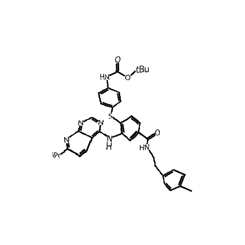 Cc1ccc(CCNC(=O)c2ccc(Sc3ccc(NC(=O)OC(C)(C)C)cc3)c(Nc3ncnc4nc(C(C)C)ccc34)c2)cc1